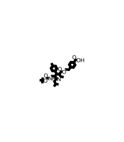 Cc1ccc(-c2c(CNC(=O)OC(C)(C)C)c(CC(C)C)nc(C)c2C(=O)OCCc2ccc(C(=O)O)cc2)cc1